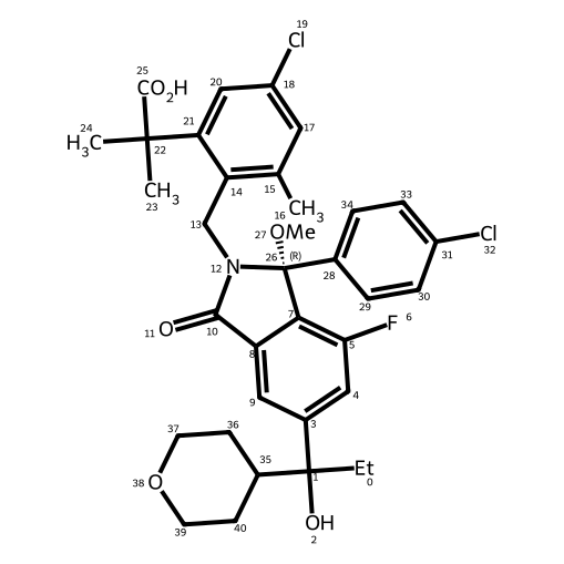 CCC(O)(c1cc(F)c2c(c1)C(=O)N(Cc1c(C)cc(Cl)cc1C(C)(C)C(=O)O)[C@@]2(OC)c1ccc(Cl)cc1)C1CCOCC1